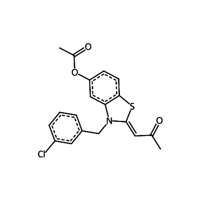 CC(=O)/C=C1\Sc2ccc(OC(C)=O)cc2N1Cc1cccc(Cl)c1